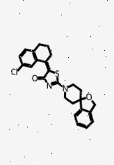 O=C1N=C(N2CCC3(CC2)OCc2ccccc23)S/C1=C1\CCCc2ccc(Cl)cc21